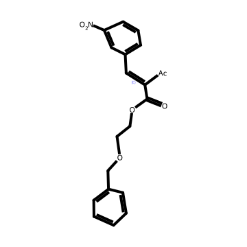 CC(=O)/C(=C\c1cccc([N+](=O)[O-])c1)C(=O)OCCOCc1ccccc1